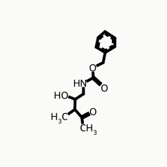 CC(=O)C(C)C(O)CNC(=O)OCc1ccccc1